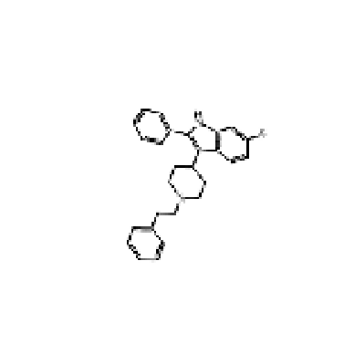 Fc1ccc2c(C3CCN(CCc4ccccc4)CC3)c(-c3ccccc3)[nH]c2c1